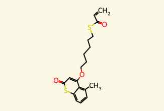 C=CC(=O)SCCCCCCOc1cc(=O)sc2cccc(C)c12